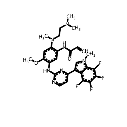 C=CC(=O)Nc1cc(Nc2nccc(-c3cn(C)c4c(F)c(F)c(F)c(F)c34)n2)c(OC)cc1N(C)CCN(C)C